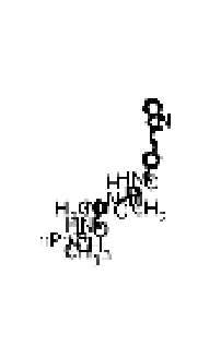 CCC[N+](C)(C)CCNC(=O)c1cc(NC(=O)c2cc(NC(=O)c3ccc(/C=C/c4cnc5ccccc5c4)cc3)cn2C)cn1C